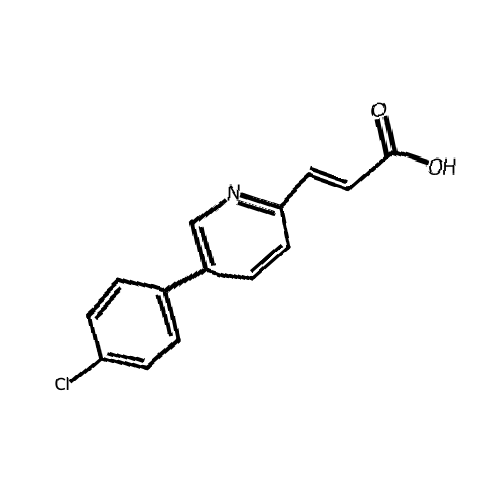 O=C(O)/C=C/c1ccc(-c2ccc(Cl)cc2)cn1